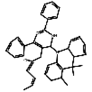 C/C=C\C=C(\Cl)CC1=C(c2ccccc2)N=C(c2ccccc2)NC1N1C2=C(C(C)CC=C2)C(C)(C)C2C=CC=CC21